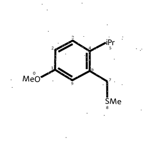 COc1ccc(C(C)C)c(CSC)c1